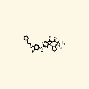 CN(C)C(=O)c1c(F)c2cnc(Nc3ccc(OCCN4CCCC4)c(F)c3)nc2n1C1CCCC1